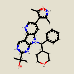 Cc1noc(C)c1-c1cnc2c3cnc(C(C)(C)O)nc3n(C(c3ccccc3)C3CCOCC3)c2c1